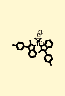 CC1=C(c2ccc(C)cc2)c2ccccc2[CH]1[Ti+2]([CH]1C(C)=C(c2ccc(C)cc2)c2ccccc21)=[Si](C)C.[Cl-].[Cl-]